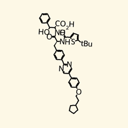 CC(C)(C)c1ccc(C(=O)N[C@@H](Cc2ccc(-c3ncc(-c4ccc(OCCC5CCCC5)cc4)cn3)cc2)C(=O)NC(C(=O)O)C(O)c2ccccc2)s1